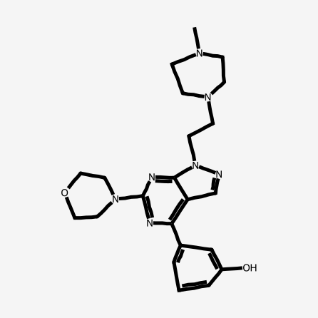 CN1CCN(CCn2ncc3c(-c4cccc(O)c4)nc(N4CCOCC4)nc32)CC1